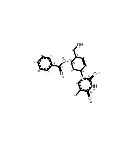 Cc1cn(C2C=CC(CO)[C@@H](OC(=O)c3ccccc3)C2)c(=O)[nH]c1=O